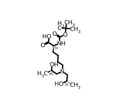 C[C@H](O)CN(CCCC[C@H](NC(=O)OC(C)(C)C)C(=O)O)C[C@@H](C)O